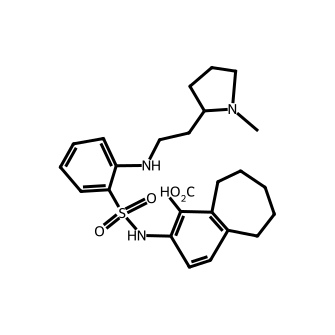 CN1CCCC1CCNc1ccccc1S(=O)(=O)Nc1ccc2c(c1C(=O)O)CCCCC2